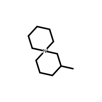 CC1CCC[N+]2(CCCCC2)C1